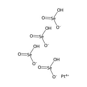 O=[Se]([O-])O.O=[Se]([O-])O.O=[Se]([O-])O.O=[Se]([O-])O.[Pt+4]